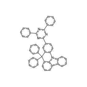 c1ccc(-c2nc(-c3ccccc3)nc(-c3ccc4c(c3)C(c3ccccc3)(c3ccccc3)c3cccc5c6ccccc6n-4c35)n2)cc1